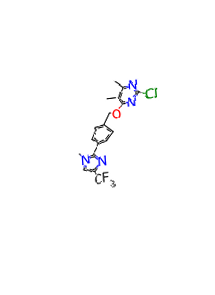 Cc1nc(Cl)nc(OCc2ccc(-c3nc(C(F)(F)F)cn3C)cc2)c1C